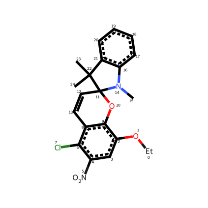 CCOc1cc([N+](=O)[O-])c(Cl)c2c1OC1(C=C2)N(C)c2ccccc2C1(C)C